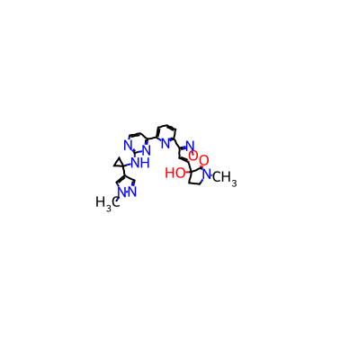 CN1CCC(O)(c2cc(-c3cccc(-c4ccnc(NC5(c6cnn(C)c6)CC5)n4)n3)no2)C1=O